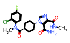 CNC(=O)c1ncn([C@H]2CC[C@H](C(=O)N(C)c3ccc(F)cc3Cl)CC2)c1C(N)=O